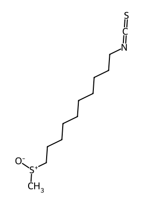 C[S+]([O-])CCCCCCCCCCN=C=S